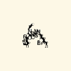 C#CCN1CC(OC(=O)c2cccs2)[N+]([O-])(c2nnc(CCCC(Br)CC)s2)C1